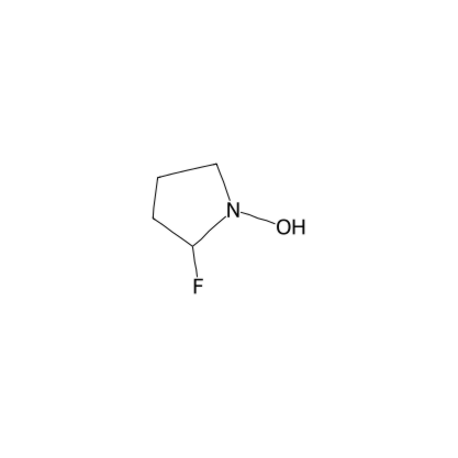 ON1CCCC1F